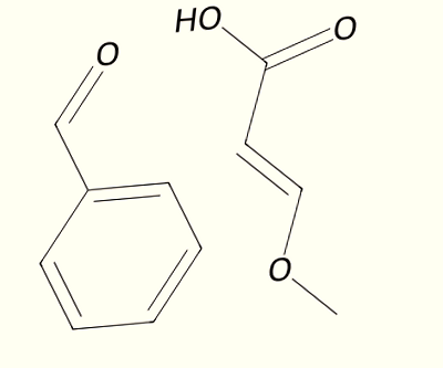 COC=CC(=O)O.O=Cc1ccccc1